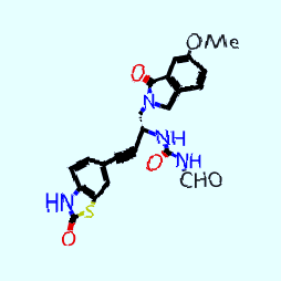 COc1ccc2c(c1)C(=O)N(C[C@@H](C#Cc1ccc3[nH]c(=O)sc3c1)NC(=O)NC=O)C2